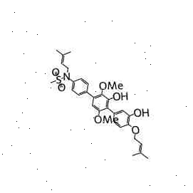 COc1cc(-c2ccc(N(CC=C(C)C)S(C)(=O)=O)cc2)c(OC)c(O)c1-c1ccc(OCC=C(C)C)c(O)c1